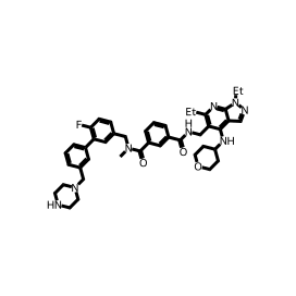 CCc1nc2c(cnn2CC)c(NC2CCOCC2)c1CNC(=O)c1cccc(C(=O)N(C)Cc2ccc(F)c(-c3cccc(CN4CCNCC4)c3)c2)c1